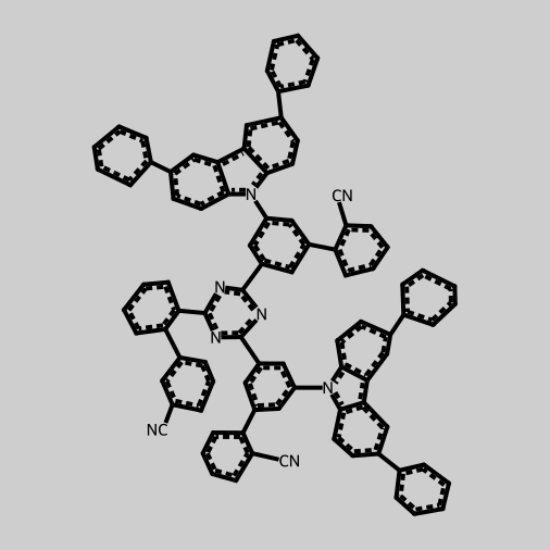 N#Cc1cccc(-c2ccccc2-c2nc(-c3cc(-c4ccccc4C#N)cc(-n4c5ccc(-c6ccccc6)cc5c5cc(-c6ccccc6)ccc54)c3)nc(-c3cc(-c4ccccc4C#N)cc(-n4c5ccc(-c6ccccc6)cc5c5cc(-c6ccccc6)ccc54)c3)n2)c1